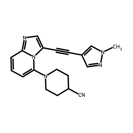 Cn1cc(C#Cc2cnc3cccc(N4CCC(C#N)CC4)n23)cn1